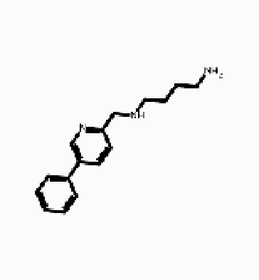 NCCCCNCc1ccc(-c2ccccc2)cn1